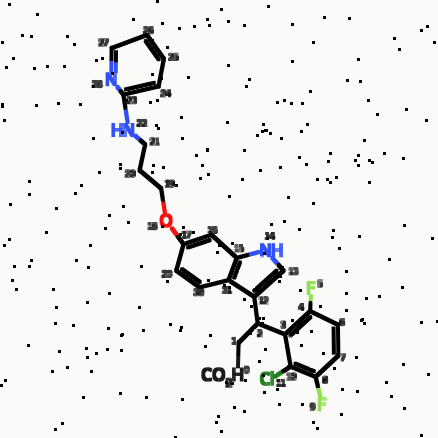 O=C(O)CC(c1c(F)ccc(F)c1Cl)c1c[nH]c2cc(OCCCNc3ccccn3)ccc12